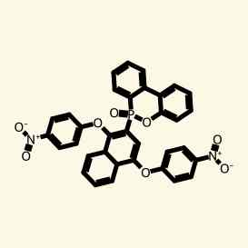 O=[N+]([O-])c1ccc(OC2=CC(P3(=O)Oc4ccccc4-c4ccccc43)=C(Oc3ccc([N+](=O)[O-])cc3)C3C=CC=CC23)cc1